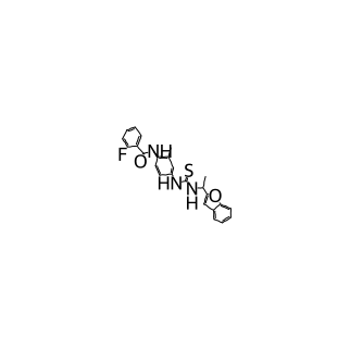 Cc1cc(NC(=S)NC(C)c2cc3ccccc3o2)ccc1NC(=O)c1ccccc1F